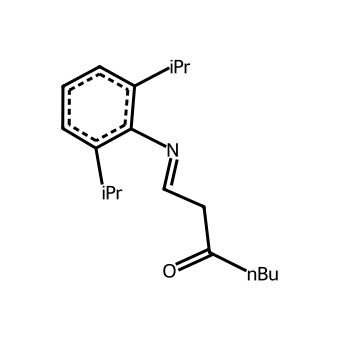 CCCCC(=O)CC=Nc1c(C(C)C)cccc1C(C)C